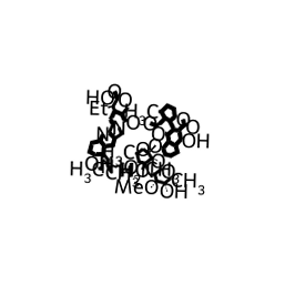 CC[C@@]1(O)C(=O)OCc2c1cc1n(c2=O)Cc2cc3c(CN(C)C)c(O)ccc3nc2-1.CO[C@@H]1[C@@H](N)[C@@H](O[C@H]2[C@H](Oc3cccc4c(O)c5c(=O)oc6ccc(C)c7c(=O)oc(c34)c5c67)O[C@H](C)[C@H](O)[C@]2(C)O)O[C@H](C)[C@@H]1O